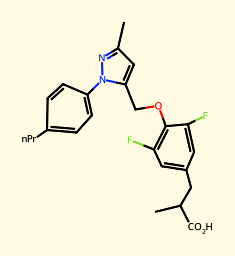 CCCc1ccc(-n2nc(C)cc2COc2c(F)cc(CC(C)C(=O)O)cc2F)cc1